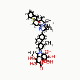 C=Cc1cc(C(=C/C)/N=C(/C2C=CC=CC2)N(C)C(C)c2ccc3c(c2)sc2ccccc23)ccc1-c1ccc(-n2c(C)c(/C(O)=C(/O)C(O)=C=O)c3c(O)c(O)c(O)c(O)c32)cc1C